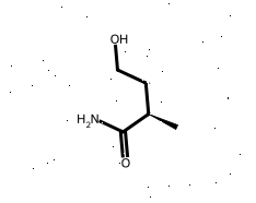 C[C@H]([CH]CO)C(N)=O